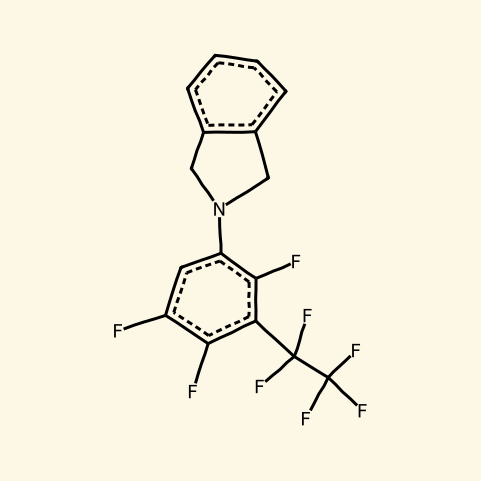 Fc1cc(N2Cc3ccccc3C2)c(F)c(C(F)(F)C(F)(F)F)c1F